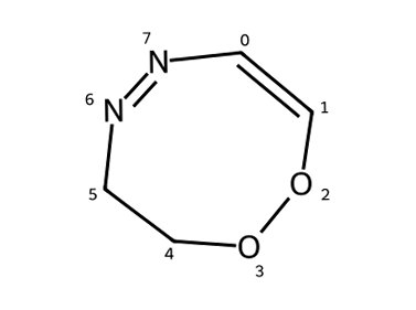 C1=COOCCN=N1